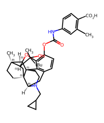 Cc1cc(NC(=O)Oc2ccc3c4c2O[C@H]2[C@]5(C)CC[C@@]6(C[C@@H]5C(C)(O)C(C)(C)C)[C@@H](C3)N(CC3CC3)CC[C@]426)ccc1C(=O)O